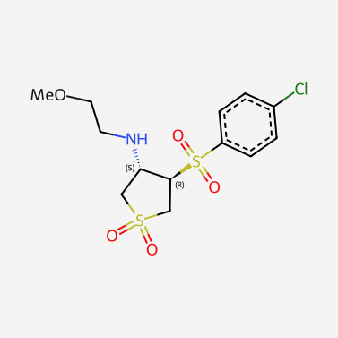 COCCN[C@H]1CS(=O)(=O)C[C@@H]1S(=O)(=O)c1ccc(Cl)cc1